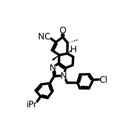 CC(C)c1ccc(-c2nc3c(n2Cc2ccc(Cl)cc2)CC[C@@H]2[C@@H](C)C(=O)C(C#N)=C[C@@]32C)cc1